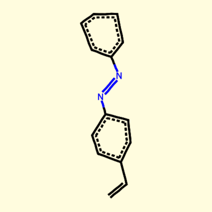 C=Cc1ccc(N=Nc2ccccc2)cc1